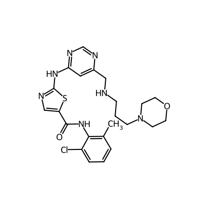 Cc1cccc(Cl)c1NC(=O)c1cnc(Nc2cc(CNCCCN3CCOCC3)ncn2)s1